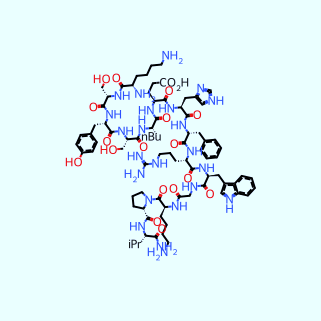 CCCC[C@H](NC(=O)[C@H](CO)NC(=O)[C@H](Cc1ccc(O)cc1)NC(=O)[C@H](CO)NC(=O)[C@@H](N)CCCCN)C(=O)N[C@@H](CCC(=O)O)C(=O)N[C@@H](Cc1c[nH]cn1)C(=O)N[C@H](Cc1ccccc1)C(=O)N[C@@H](CCCNC(=N)N)C(=O)N[C@@H](Cc1c[nH]c2ccccc12)C(=O)NCC(=O)N[C@@H](CCCCN)C(=O)N1CCC[C@H]1C(=O)N[C@H](C(N)=O)C(C)C